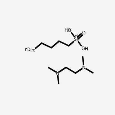 CCCCCCCCCCCCCC[SeH](=O)(O)O.CN(C)CCN(C)C